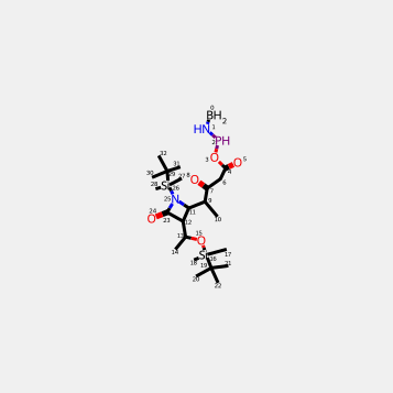 BNPOC(=O)CC(=O)C(C)C1C(C(C)O[Si](C)(C)C(C)(C)C)C(=O)N1[Si](C)(C)C(C)(C)C